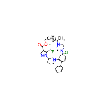 CCOC(=O)c1cnn(C2CCCN(C3=C(c4ccccc4)C=CC(Cl)(N4CCN(C(C)C)CC4)C3)C2)c1C(F)F